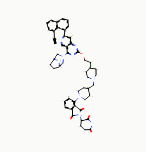 C#Cc1cccc2cccc(-c3ncc4c(N5CC6CCC(C5)N6)nc(OCCC5CCN(CC6CCN(c7cccc8c7C(=O)N(C7CCC(=O)NC7=O)C8=O)CC6)CC5)nc4c3F)c12.Cl